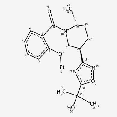 CCOc1ccccc1C(=O)N1C[C@H](c2noc(C(C)(C)O)n2)CC[C@H]1C